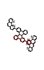 c1ccc2c(c1)-c1ccc(-c3ccc4ccc5cccnc5c4n3)cc1C13c4ccccc4-c4ccc(-c5ccc6ccc7cccnc7c6n5)cc4C21c1ccccc1-c1ccc(-c2ccc4ccc5cccnc5c4n2)cc13